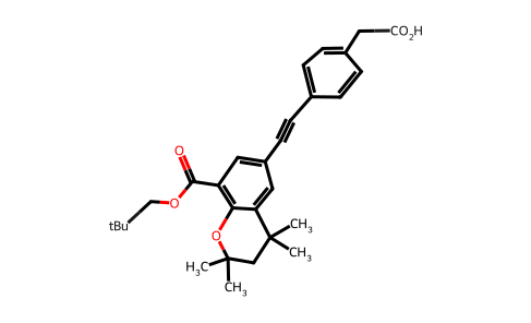 CC(C)(C)COC(=O)c1cc(C#Cc2ccc(CC(=O)O)cc2)cc2c1OC(C)(C)CC2(C)C